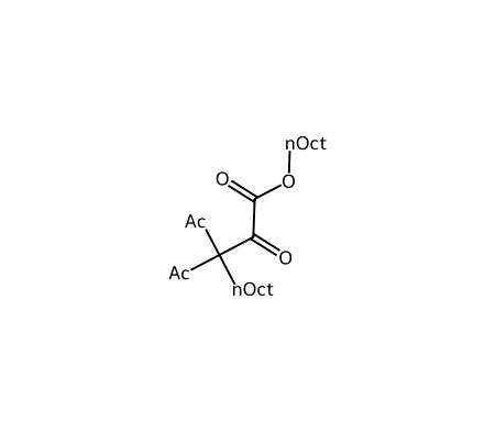 CCCCCCCCOC(=O)C(=O)C(CCCCCCCC)(C(C)=O)C(C)=O